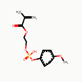 C=C(C)C(=O)OCCOP(=O)(O)Oc1ccc(OC)cc1